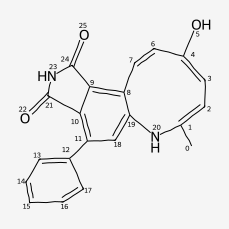 Cc1ccc(O)ccc2c3c(c(-c4ccccc4)cc2[nH]1)C(=O)NC3=O